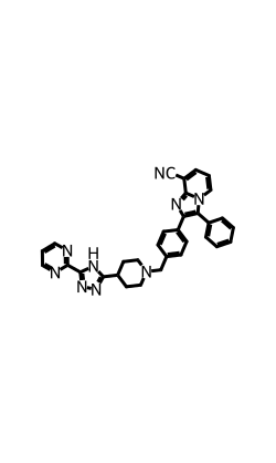 N#Cc1cccn2c(-c3ccccc3)c(-c3ccc(CN4CCC(c5nnc(-c6ncccn6)[nH]5)CC4)cc3)nc12